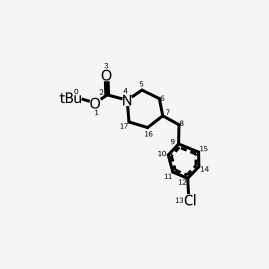 CC(C)(C)OC(=O)N1CCC(Cc2ccc(Cl)cc2)CC1